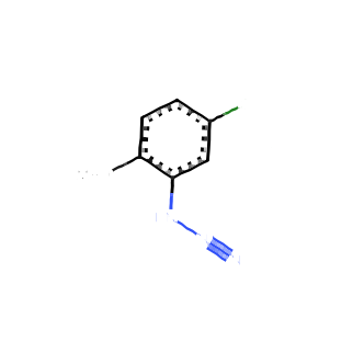 COc1ccc(Cl)cc1N[N+]#N.[Cl-]